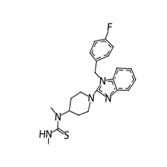 CNC(=S)N(C)C1CCN(c2nc3ccccc3n2Cc2ccc(F)cc2)CC1